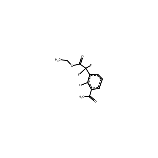 CCOC(=O)C(F)(F)c1cccc(C(C)=O)c1Cl